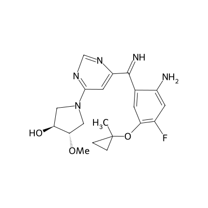 CO[C@H]1CN(c2cc(C(=N)c3cc(OC4(C)CC4)c(F)cc3N)ncn2)C[C@@H]1O